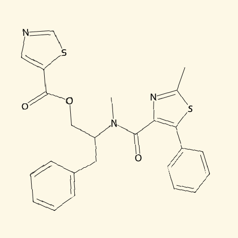 Cc1nc(C(=O)N(C)C(COC(=O)c2cncs2)Cc2ccccc2)c(-c2ccccc2)s1